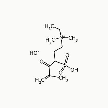 C=C(C)C(=O)C(CC[N+](C)(C)CC)S(=O)(=O)O.[OH-]